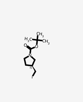 CC(C)(C)OC(=O)N1CC[C@H](CI)C1